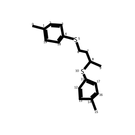 Cc1ccc(SCCC(C)Sc2ccc(C)cc2)cc1